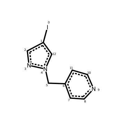 Ic1cnn(Cc2ccncc2)c1